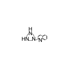 c1ccc2nc(CN3CCNCCNCC3)ccc2c1